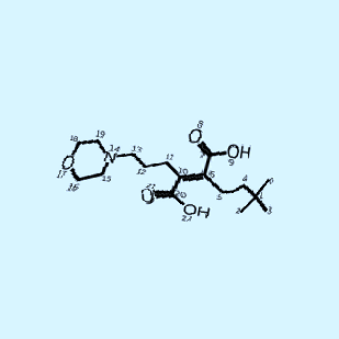 CC(C)(C)CCC(C(=O)O)=C(CCCN1CCOCC1)C(=O)O